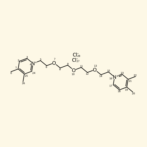 Cc1cc[n+](CCOCCOCCOCC[n+]2ccc(C)c(C)c2)cc1C.[Cl-].[Cl-]